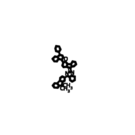 CC1(C)c2ccccc2-c2ccc(-c3nc(-n4c5ccccc5c5c6oc7cc(-c8ccccc8)c8ccccc8c7c6ccc54)nc4ccccc34)cc21